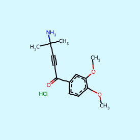 COc1ccc(C(=O)C#CC(C)(C)N)cc1OC.Cl